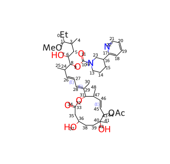 CCC(OC)C(C)CC(O)C(OC(=O)N1CCCC(c2ccccn2)C1)C(C)/C=C/C=C(\C)C1OC(=O)CC(O)CCC(C)(O)C(OC(C)=O)/C=C/C1C